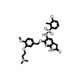 COc1ccc(COc2nc3c(cc2NS(=O)(=O)c2cccc(Cl)c2C)CC(=O)N3)cc1OCCN(C)C